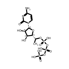 CC(OP(=O)(O)OP(=O)(O)OP(=O)(O)O)[C@H]1O[C@@H](n2ccc(N)nc2=O)[C@H](O)[C@@H]1O